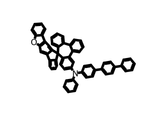 c1ccc(-c2ccc(-c3ccc(N(c4ccccc4)c4ccc5c(c4)-c4ccccc4-c4ccccc4C54c5ccccc5-c5cc6oc7ccccc7c6cc54)cc3)cc2)cc1